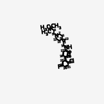 CC(C)(C)CCN1CCC2(CC1)C[C@H]2CNc1ccc(-c2cc(F)ccc2Cl)nn1